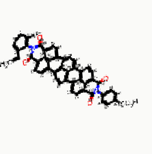 C=Cc1cccc(C(C)C)c1N1C(=O)c2ccc3c4ccc5c6ccc7c8c(ccc(c9ccc(c%10ccc(c2c3%10)C1=O)c4c59)c86)C(=O)N(c1ccc(C(=O)O)cc1)C7=O